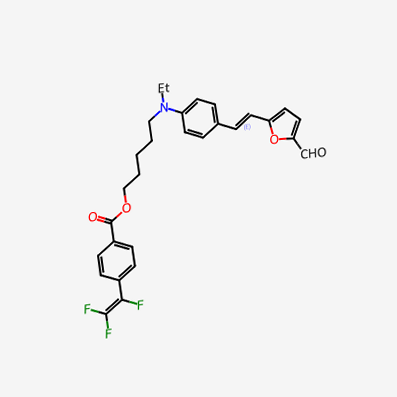 CCN(CCCCCOC(=O)c1ccc(C(F)=C(F)F)cc1)c1ccc(/C=C/c2ccc(C=O)o2)cc1